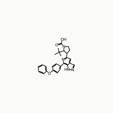 CC(C)(C)C1C(c2cc3cn[nH]c3c(-c3ccc(Oc4ccccc4)cc3)n2)CCN1C(=O)O